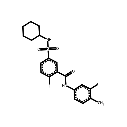 Cc1ccc(NC(=O)c2cc(S(=O)(=O)NC3CCCCC3)ccc2F)cc1F